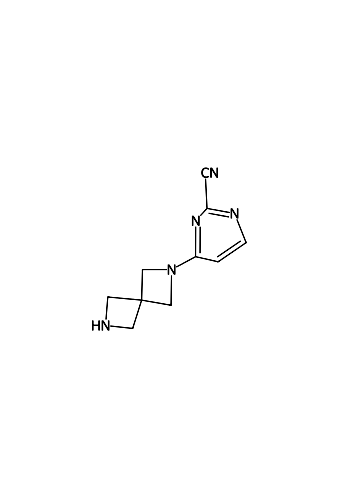 N#Cc1nccc(N2CC3(CNC3)C2)n1